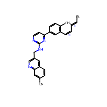 CC/C=C/C=C\c1cc(-c2ccnc(NCc3cnc4cc(C#N)ccc4c3)n2)ccc1C